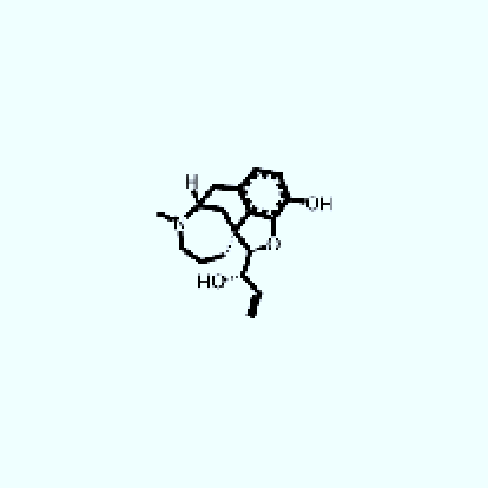 C=C[C@H](O)[C@@H]1Oc2c(O)ccc3c2[C@@]12CCCN(C)[C@H](C3)C2